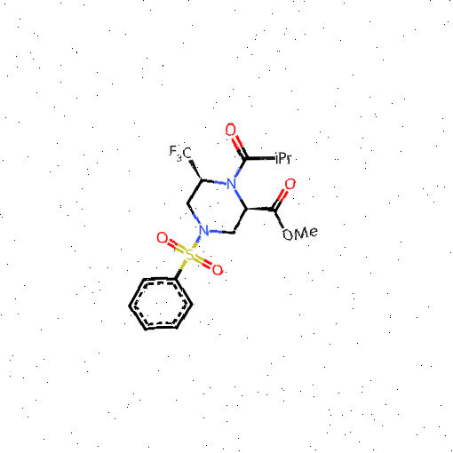 COC(=O)[C@H]1CN(S(=O)(=O)c2ccccc2)C[C@@H](C(F)(F)F)N1C(=O)C(C)C